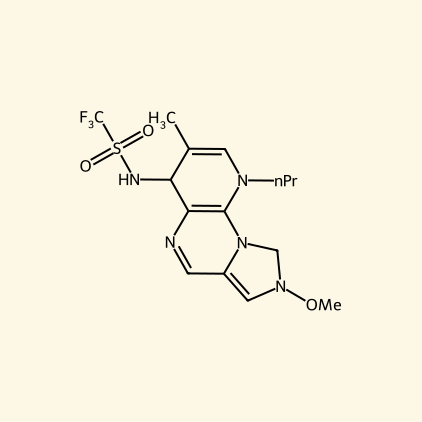 CCCN1C=C(C)C(NS(=O)(=O)C(F)(F)F)C2=C1N1CN(OC)C=C1C=N2